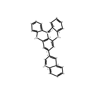 S=P12c3ccccc3Oc3cc(-c4cnc5ccccc5c4)cc(c31)Oc1ccccc12